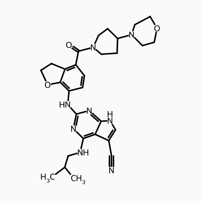 CC(C)CNc1nc(Nc2ccc(C(=O)N3CCC(N4CCOCC4)CC3)c3c2OCC3)nc2[nH]cc(C#N)c12